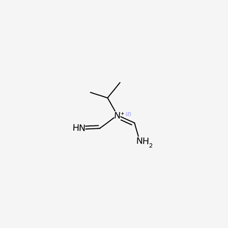 CC(C)/[N+](C=N)=C/N